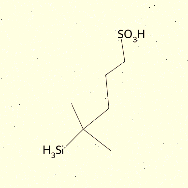 CC(C)([SiH3])CCCS(=O)(=O)O